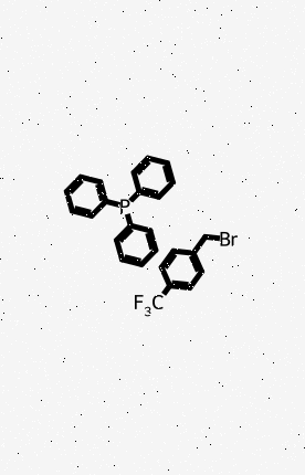 FC(F)(F)c1ccc(CBr)cc1.c1ccc(P(c2ccccc2)c2ccccc2)cc1